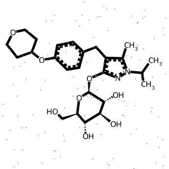 Cc1c(Cc2ccc(OC3CCOCC3)cc2)c(O[C@@H]2O[C@H](CO)[C@@H](O)[C@H](O)[C@H]2O)nn1C(C)C